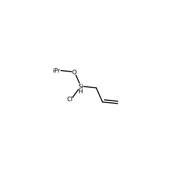 C=CC[SiH](Cl)OC(C)C